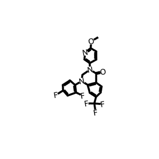 COc1ccc(N2CN(c3ccc(F)cc3F)c3cc(C(F)(F)F)ccc3C2=O)cn1